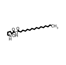 CCCCCCCCCCCCCCCC(=O)OC(=O)[C@]1(O)CCCN1